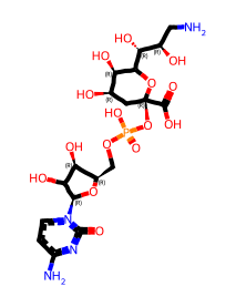 NC[C@@H](O)[C@@H](O)C1O[C@](OP(=O)(O)OC[C@H]2O[C@@H](n3ccc(N)nc3=O)C(O)[C@H]2O)(C(=O)O)C[C@@H](O)[C@H]1O